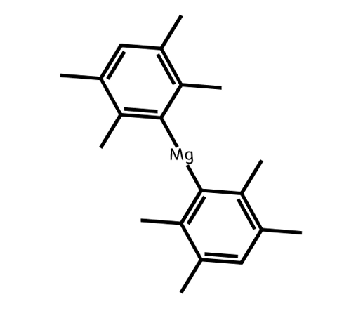 Cc1cc(C)c(C)[c]([Mg][c]2c(C)c(C)cc(C)c2C)c1C